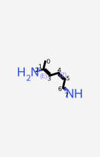 C/C(N)=C\C=C/C=N